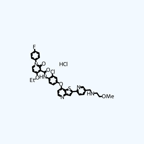 CCOc1ccn(-c2ccc(F)cc2)c(=O)c1C(=O)Nc1ccc(Oc2ccnc3cc(-c4ccc(CNCCOC)cn4)sc23)cc1Cl.Cl